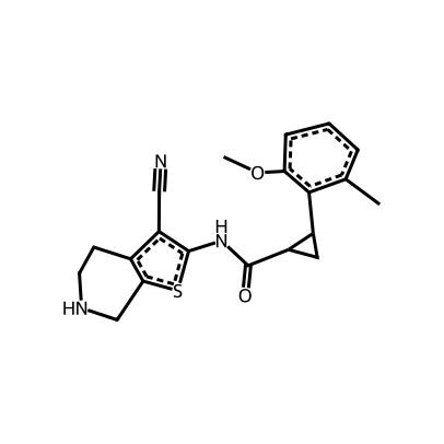 COc1cccc(C)c1C1CC1C(=O)Nc1sc2c(c1C#N)CCNC2